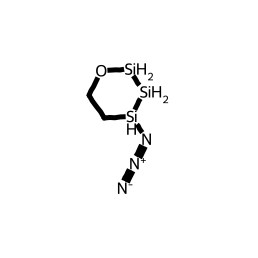 [N-]=[N+]=N[SiH]1CCO[SiH2][SiH2]1